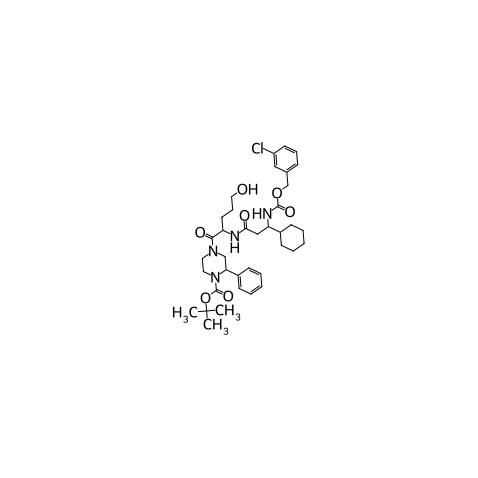 CC(C)(C)OC(=O)N1CCN(C(=O)C(CCCO)NC(=O)CC(NC(=O)OCc2cccc(Cl)c2)C2CCCCC2)CC1c1ccccc1